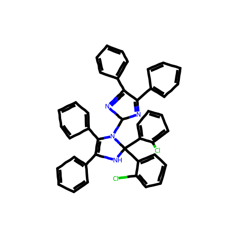 Clc1ccccc1C1(c2ccccc2Cl)NC(c2ccccc2)=C(c2ccccc2)N1C1N=C(c2ccccc2)C(c2ccccc2)=N1